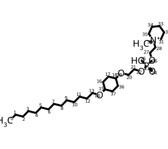 CCCCCCCCCCCCCCOC1CCC(OCCOP(=O)(O)OCC[N+]2(C)CCCCC2)CC1